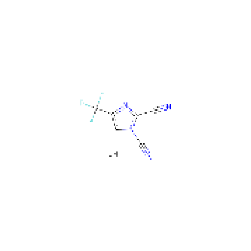 N#Cc1nc(C(F)(F)F)cn1C#N.[LiH]